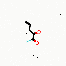 C=CCC(=O)C(=O)F